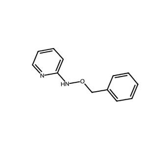 c1ccc(CONc2ccccn2)cc1